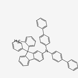 Cc1ccccc1C1(c2ccccc2)c2ccccc2-c2ccc(N(c3ccc(-c4ccccc4)cc3)c3ccc(-c4ccccc4)cc3)cc21